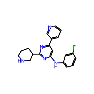 Fc1cccc(Nc2cc(-c3cccnc3)nc(C3CCCNC3)n2)c1